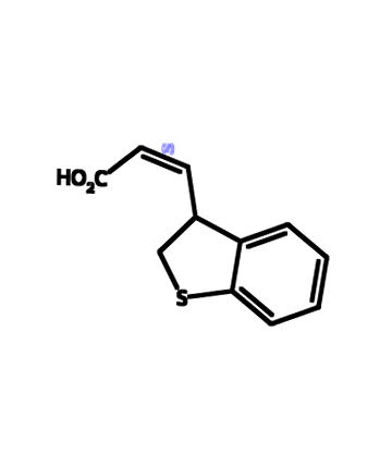 O=C(O)/C=C\C1CSc2ccccc21